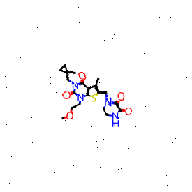 COCCn1c(=O)n(CC2(C)CC2)c(=O)c2c(C)c(CN3CCNC(=O)C3=O)sc21